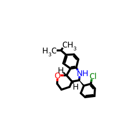 CC(C)c1ccc2c(c1)[C@H]1OCCC[C@H]1[C@H](C1CC=CC=C1Cl)N2